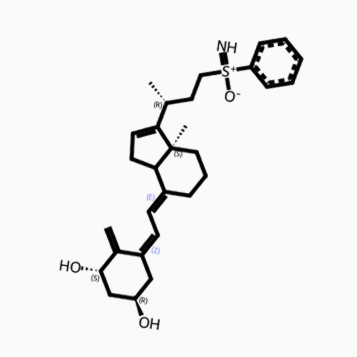 C=C1/C(=C\C=C2/CCC[C@]3(C)C([C@H](C)CC[S+](=N)([O-])c4ccccc4)=CCC23)C[C@@H](O)C[C@@H]1O